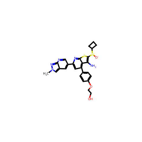 Cn1cc2cc(-c3cc(-c4ccc(OCCO)cc4)c4c(N)c([S+]([O-])C5CCC5)sc4n3)cnc2n1